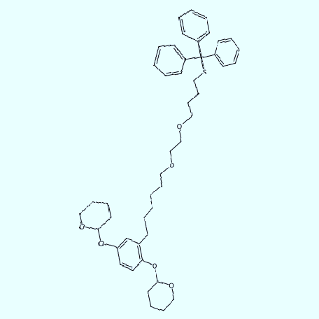 c1ccc(C(SCCCCOCCOCCCCCCc2cc(OC3CCCCO3)ccc2OC2CCCCO2)(c2ccccc2)c2ccccc2)cc1